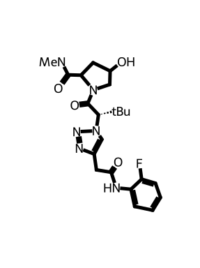 CNC(=O)C1CC(O)CN1C(=O)[C@@H](n1cc(CC(=O)Nc2ccccc2F)nn1)C(C)(C)C